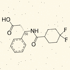 O=C(O)C[C@H](NC(=O)C1CCC(F)(F)CC1)c1ccccc1